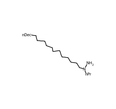 CCCCCCCCCCCCCCCCCCCCCCN(N)CCC